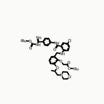 CC(CN1CCOCC1)Oc1cccc(CNc2ccc(Cl)cc2C(=O)Nc2ccc(C(=N)NC(=O)OC(C)(C)C)cc2)c1OCC(=O)OC(C)(C)C